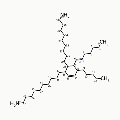 CCCCC/C=C/C1C(CCCCC)C=CC(CCCCCCCCCCN)C1CCCCCCCCCN